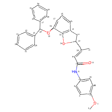 COc1ccc(NC(=O)/C=C(\C)C2Cc3cccc(OC(c4ccccc4)c4ccccc4)c3O2)cc1